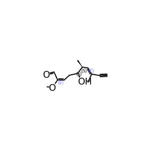 C#C/C(C)=C/[C@H](C)[C@@H](O)C/C=C(\C=O)OC